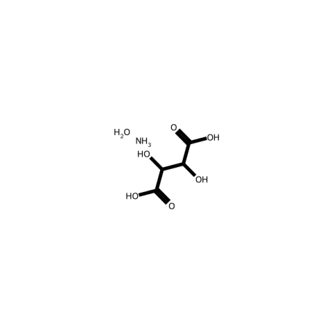 N.O.O=C(O)C(O)C(O)C(=O)O